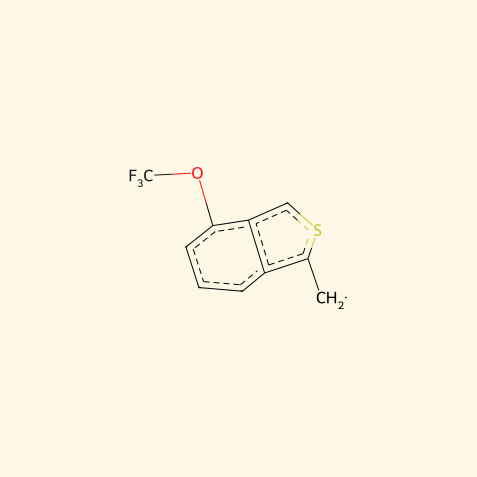 [CH2]c1scc2c(OC(F)(F)F)cccc12